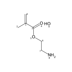 C=C(C)C(=O)OCCN.[OH]